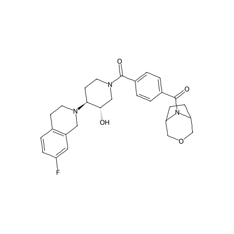 O=C(c1ccc(C(=O)N2C3CCC2COC3)cc1)N1CC[C@H](N2CCc3ccc(F)cc3C2)[C@@H](O)C1